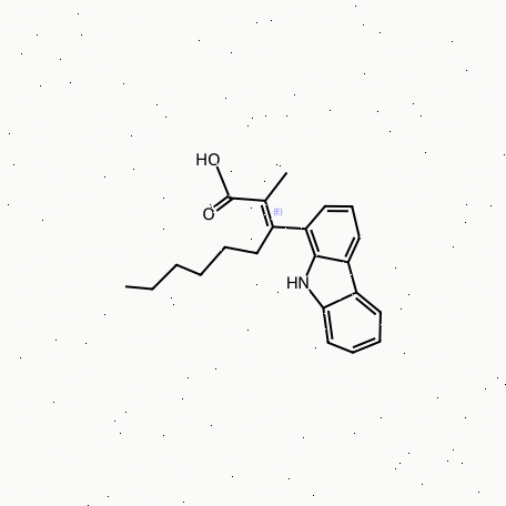 CCCCCC/C(=C(/C)C(=O)O)c1cccc2c1[nH]c1ccccc12